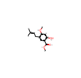 COC(=O)c1cc(CC=C(C)C)c(OC)cc1O